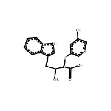 CC(Cc1c[nH]c2ccccc12)N(Oc1cncc(O)c1)C(=O)O